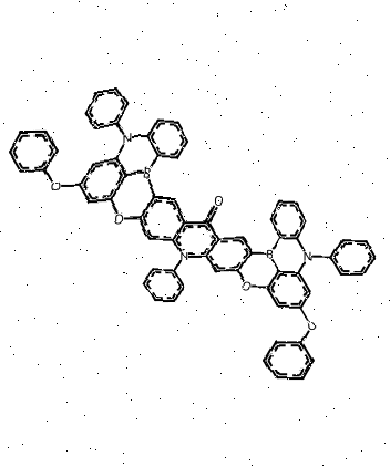 O=c1c2cc3c(cc2n(-c2ccccc2)c2cc4c(cc12)B1c2ccccc2N(c2ccccc2)c2cc(Oc5ccccc5)cc(c21)O4)Oc1cc(Oc2ccccc2)cc2c1B3c1ccccc1N2c1ccccc1